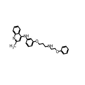 Cc1cc(Nc2cccc(OCCCNCCOc3ccccc3)c2)c2ccccc2n1